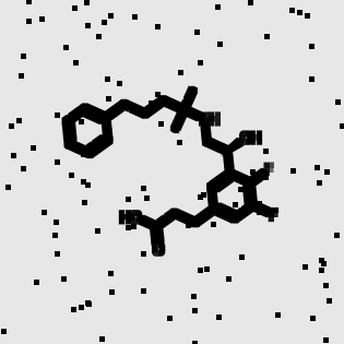 CC(C)(CCCc1ccccc1)NC[C@@H](O)c1cc(CCC(=O)O)cc(F)c1F